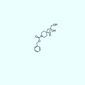 O=C(OCc1ccccc1)N1CCC(O)(C[C@H](O)CO)CC1